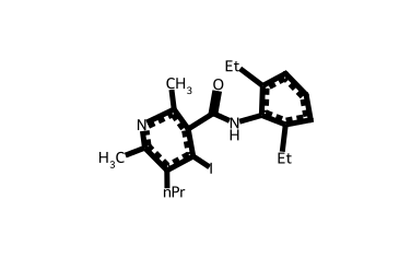 CCCc1c(C)nc(C)c(C(=O)Nc2c(CC)cccc2CC)c1I